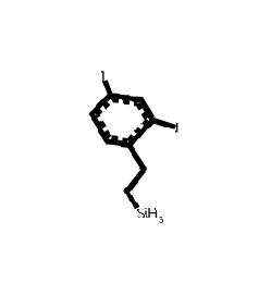 [SiH3]CCc1ccc(I)cc1I